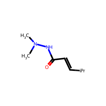 CC(C)C=CC(=O)NN(C)C